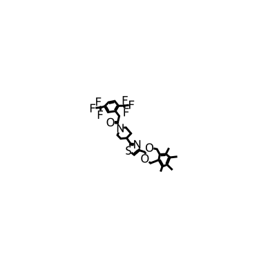 Cc1c(C)c(C)c2c(c1C)COC(c1csc(C3CCN(C(=O)Cc4cc(C(F)(F)F)ccc4C(F)(F)F)CC3)n1)OC2